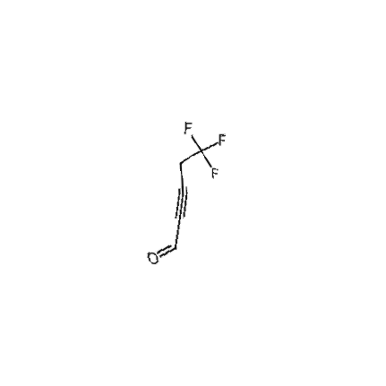 O=CC#CCC(F)(F)F